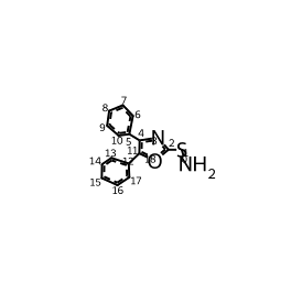 NSc1nc(-c2ccccc2)c(-c2ccccc2)o1